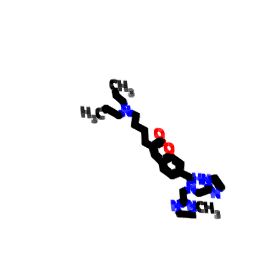 CCCN(CCC)CCCCc1cc2ccc(CN(CC3=NCCN3C)Cc3ncc[nH]3)cc2oc1=O